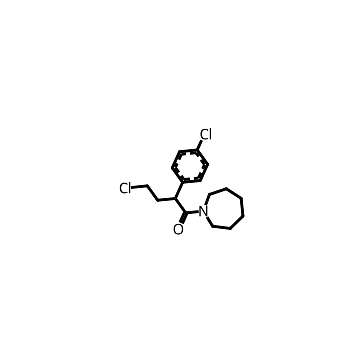 O=C(C(CCCl)c1ccc(Cl)cc1)N1CCCCCC1